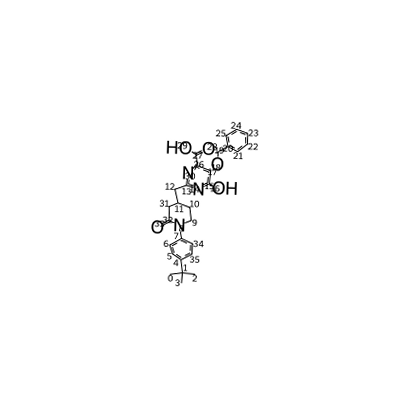 CC(C)(C)c1ccc(N2CCC(Cc3nc(O)c(OCc4ccccc4)c(C(=O)O)n3)CC2=O)cc1